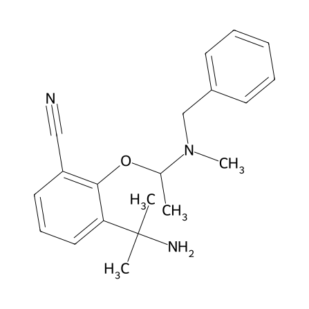 CC(Oc1c(C#N)cccc1C(C)(C)N)N(C)Cc1ccccc1